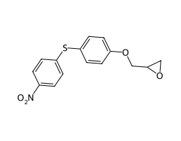 O=[N+]([O-])c1ccc(Sc2ccc(OCC3CO3)cc2)cc1